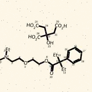 CCN(CC)CCOCCOC(=O)C(CC)(CC)c1ccccc1.O=C(O)CC(O)(CC(=O)O)C(=O)O